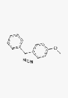 COc1ccc(Cc2ccccc2)cc1.N#N